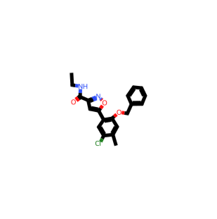 CCNC(=O)c1cc(-c2cc(Cl)c(C)cc2OCc2ccccc2)on1